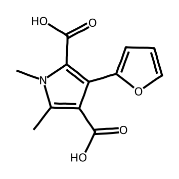 Cc1c(C(=O)O)c(-c2ccco2)c(C(=O)O)n1C